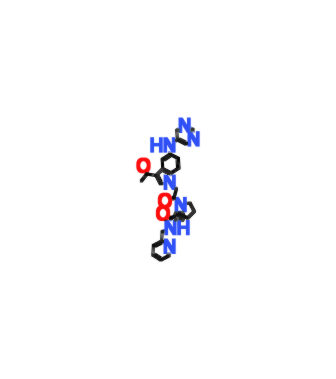 CC(=O)c1cn(CC(=O)N2CCC[C@H]2C(=O)NCc2ccccn2)c2ccc(Nc3cncnc3)cc12